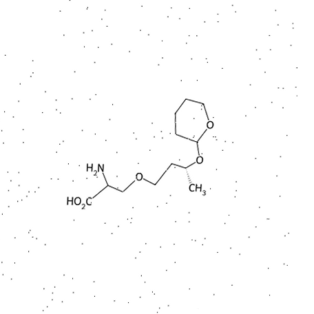 C[C@H](CCOCC(N)C(=O)O)OC1CCCCO1